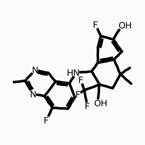 Cc1ncc2c(NC3c4cc(F)c(O)cc4C(C)(C)CC3(O)C(F)(F)F)ccc(F)c2n1